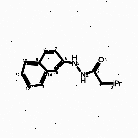 CC(C)CC(=O)NNc1ccc2ccccc2c1